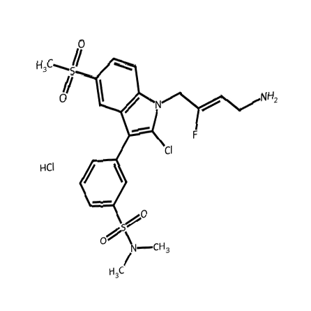 CN(C)S(=O)(=O)c1cccc(-c2c(Cl)n(CC(F)=CCN)c3ccc(S(C)(=O)=O)cc23)c1.Cl